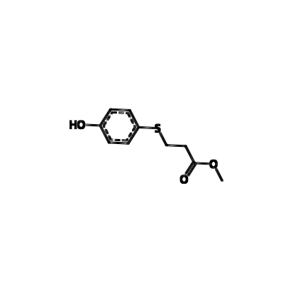 COC(=O)CCSc1ccc(O)cc1